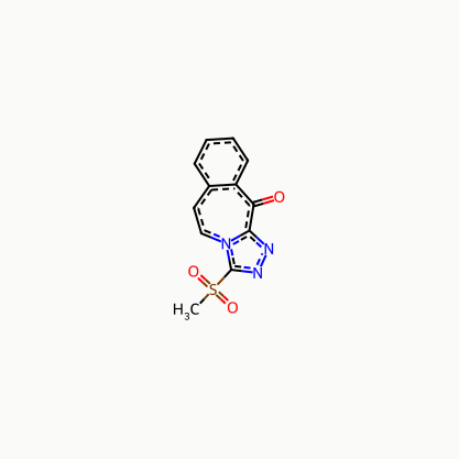 CS(=O)(=O)c1nnc2c(=O)c3ccccc3ccn12